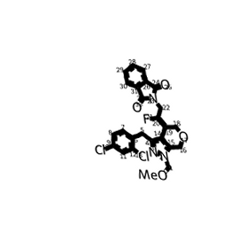 COCn1nc(Cc2ccc(Cl)cc2Cl)c2c1COCC2=C(F)CN1C(=O)c2ccccc2C1=O